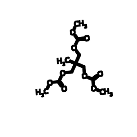 COC(=O)OCC(C)(COC(=O)OC)COC(=O)OC